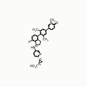 Cc1cc(-c2ccc(=O)n(C)c2)cc(C)c1-c1ccc(F)c2c1CC[C@H]2Nc1ccc([C@@H]2C[C@H]2C(=O)O)nc1